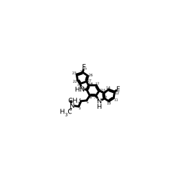 CN(C)CCCc1c2[nH]c3ccc(F)cc3c2cc2c1[nH]c1ccc(F)cc12